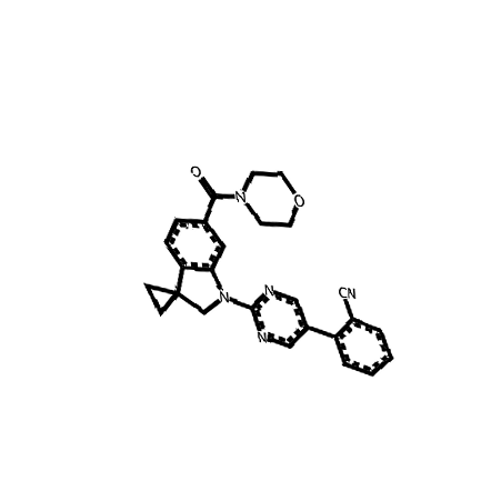 N#Cc1ccccc1-c1cnc(N2CC3(CC3)c3ccc(C(=O)N4CCOCC4)cc32)nc1